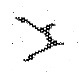 C=Cc1ccc(COCCCCCCCCc2ccc(N(c3ccc(CCCCCCCC)cc3)c3ccc(-c4ccc(N(c5ccc(CCCCCCCC)cc5)c5ccc(CCCCCCCCOCc6ccc(C=C)cc6)cc5)cc4)cc3)cc2)cc1